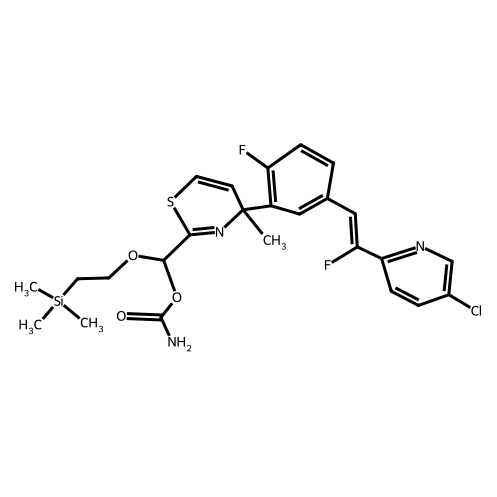 CC1(c2cc(C=C(F)c3ccc(Cl)cn3)ccc2F)C=CSC(C(OCC[Si](C)(C)C)OC(N)=O)=N1